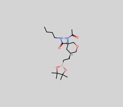 CCCCNC(=O)[C@]1(NC(C)=O)COC[C@@H](CCB2OC(C)(C)C(C)(C)O2)C1